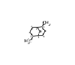 CC1CCC2CC1CCC2C